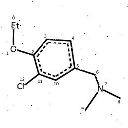 C[CH]Oc1ccc(CN(C)C)cc1Cl